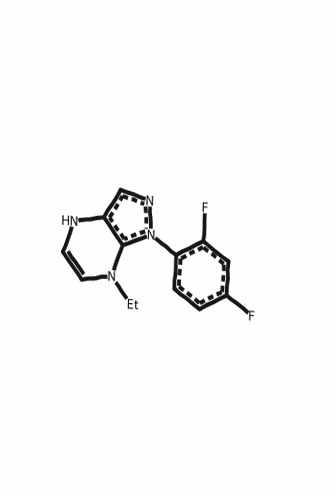 CCN1C=CNc2cnn(-c3ccc(F)cc3F)c21